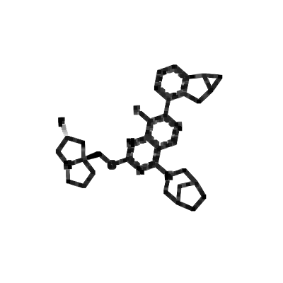 Fc1c(-c2cccc3c2CC2CC32)ncc2c(N3CC4CCC(C4)C3)nc(OC[C@@]34CCCN3C[C@H](F)C4)nc12